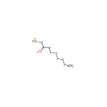 CCCCCCCC(=O)CS